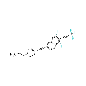 CCCC1CC=C(C#Cc2ccc3c(F)c(C#CC(F)(F)F)c(F)cc3c2)CC1